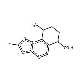 Cc1cc2ncc3c(n2n1)C(C(F)(F)F)CCN3C(=O)O